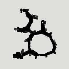 CCCCC1=C/CCCCC(=O)/C(C(=O)C=N)=C\1